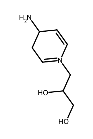 NC1C=C[N+](CC(O)CO)=CC1